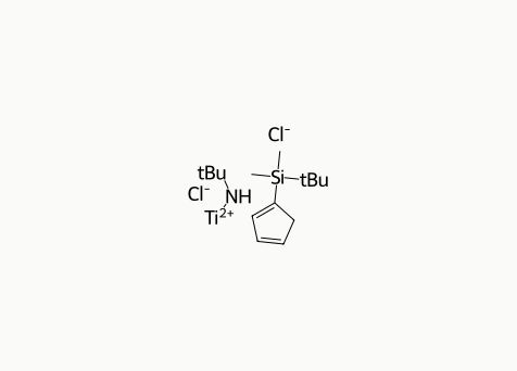 CC(C)(C)[NH][Ti+2].CC(C)(C)[Si](C)(C)C1=CC=CC1.[Cl-].[Cl-]